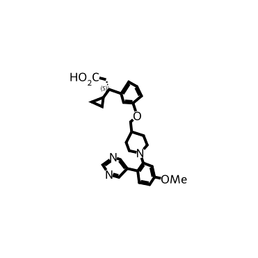 COc1ccc(-c2cncnc2)c(N2CCC(COc3cccc([C@@H](CC(=O)O)C4CC4)c3)CC2)c1